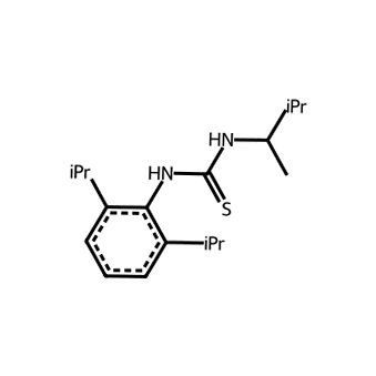 CC(C)c1cccc(C(C)C)c1NC(=S)NC(C)C(C)C